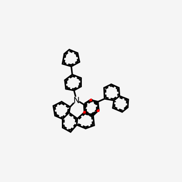 c1ccc(-c2ccc(N(c3cccc(-c4cccc5ccccc45)c3)c3cccc4ccc5ccc6ccccc6c5c34)cc2)cc1